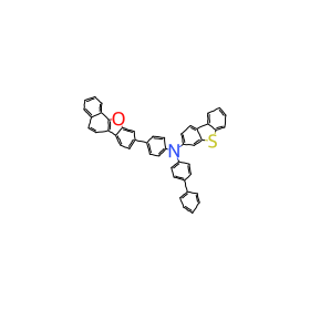 c1ccc(-c2ccc(N(c3ccc(-c4ccc5c(c4)oc4c6ccccc6ccc54)cc3)c3ccc4c(c3)sc3ccccc34)cc2)cc1